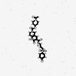 CC(=O)N1CCC(OC(=O)N2CCc3[nH]c(=O)c(C(=O)NC/C=C/S(=O)(=O)c4ccc(Cl)cc4)cc3C2)CC1